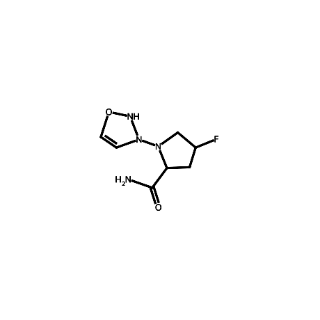 NC(=O)C1CC(F)CN1N1C=CON1